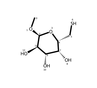 CO[C@H]1O[C@H](CS)[C@H](O)[C@H](O)[C@H]1O